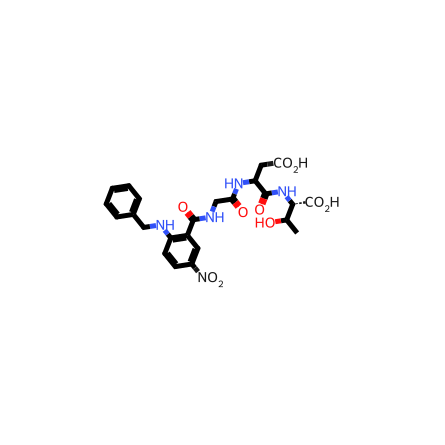 CC(O)[C@H](NC(=O)C(CC(=O)O)NC(=O)CNC(=O)c1cc([N+](=O)[O-])ccc1NCc1ccccc1)C(=O)O